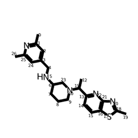 Cc1cc(CNC2CCCN(C(C)c3ccc4sc(C)nc4n3)C2)cc(C)n1